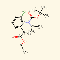 C=C(C(=O)OCC)c1cccc(Cl)c1N(C(=O)OC(C)(C)C)C(C)C